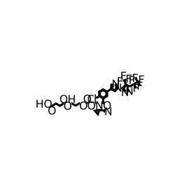 Cn1nc(C(F)(F)C(F)(F)F)c(C(F)(F)F)c1-n1cc(-c2ccc(Cl)c(C(=O)N(COC(=O)OCCCOC(O)CCC(=O)O)C3(C#N)CC3)c2)cn1